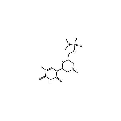 Cc1cn(C2CN(C)C[C@@H](COP(=O)(Cl)N(C)C)O2)c(=O)[nH]c1=O